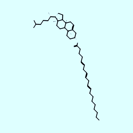 CCCCCCCCC=CCC=CCC=CCCCC(=O)O[C@H]1CC[C@@]2(C)C(=CC[C@H]3[C@@H]4CC[C@H]([C@H](C)CCCC(C)C)[C@@]4(C)CC[C@@H]32)C1